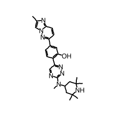 Cc1cn2nc(-c3ccc(-c4cnc(N(C)C5CC(C)(C)NC(C)(C)C5)nn4)c(O)c3)ccc2n1